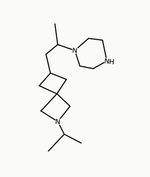 CC(C)N1CC2(CC(CC(C)N3CCNCC3)C2)C1